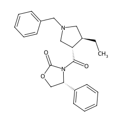 CC[C@@H]1CN(Cc2ccccc2)C[C@H]1C(=O)N1C(=O)OC[C@H]1c1ccccc1